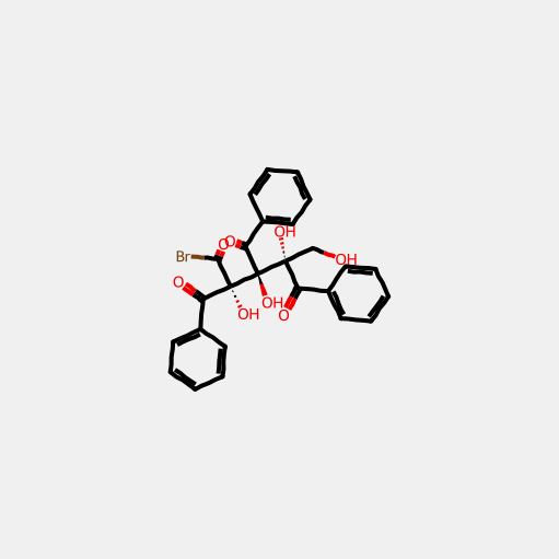 O=C(Br)[C@](O)(C(=O)c1ccccc1)[C@](O)(C(=O)c1ccccc1)[C@@](O)(CO)C(=O)c1ccccc1